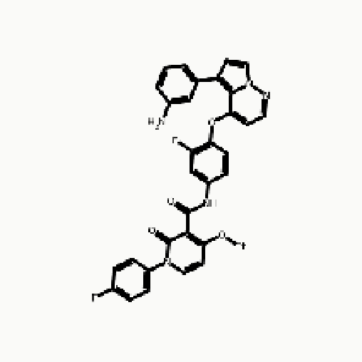 CCOc1ccn(-c2ccc(F)cc2)c(=O)c1C(=O)Nc1ccc(Oc2ccnn3ccc(-c4cccc(N)c4)c23)c(F)c1